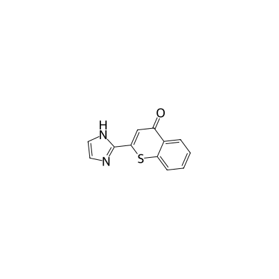 O=c1cc(-c2ncc[nH]2)sc2ccccc12